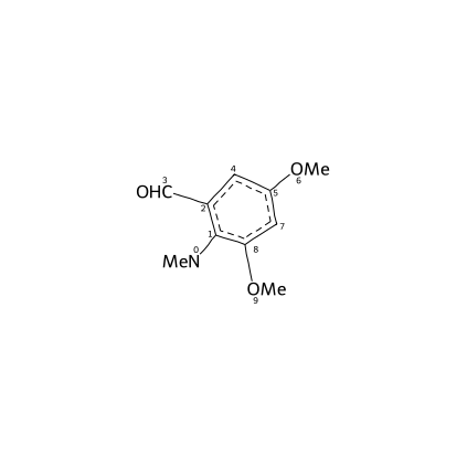 CNc1c(C=O)cc(OC)cc1OC